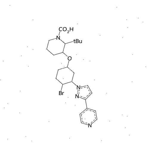 CC(C)(C)C1C(OC2CCC(Br)C(n3ccc(-c4ccncc4)n3)C2)CCCN1C(=O)O